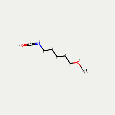 O=C=NCCCCCO[SiH3]